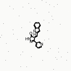 O=C1NN=C(c2cccnc2)C1=Cc1cc2ccccc2[nH]1